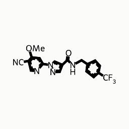 COc1cc(-n2cc(C(=O)NCc3ccc(C(F)(F)F)cc3)cn2)ncc1C#N